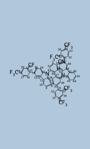 N#Cc1ccc(-n2c3ccccc3c3cc(-c4ccc(C(F)(F)F)cc4C(F)(F)F)ccc32)c(-c2ccc(-c3ccc(C(F)(F)F)cc3C(F)(F)F)cc2-n2c3ccccc3c3cc(-c4ccc(C(F)(F)F)cc4C(F)(F)F)ccc32)c1